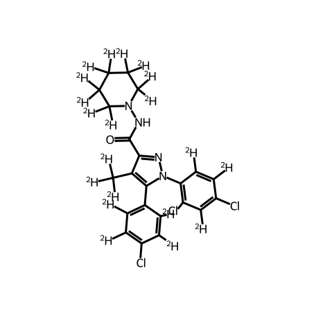 [2H]c1c([2H])c(-c2c(C([2H])([2H])[2H])c(C(=O)NN3C([2H])([2H])C([2H])([2H])C([2H])([2H])C([2H])([2H])C3([2H])[2H])nn2-c2c([2H])c([2H])c(Cl)c([2H])c2Cl)c([2H])c([2H])c1Cl